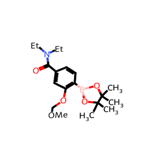 CCN(CC)C(=O)c1ccc(B2OC(C)(C)C(C)(C)O2)c(OCOC)c1